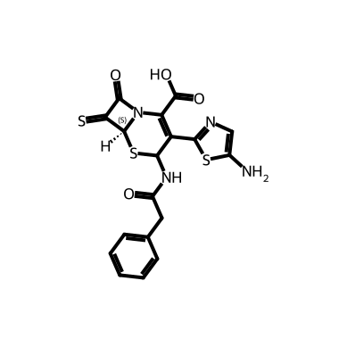 Nc1cnc(C2=C(C(=O)O)N3C(=O)C(=S)[C@@H]3SC2NC(=O)Cc2ccccc2)s1